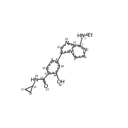 CCNc1nccn2c(-c3ccc(C(=O)NC4CC4)c(O)c3)cnc12